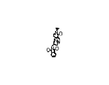 O=C1c2ccccc2C(=O)N1CC(=CF)Cn1ncc2c1CCN(C1CC1)C2=O